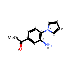 COC(=O)c1ccc(-n2cccc2)c(N)c1